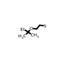 CCC(C)(C)OCC[S]